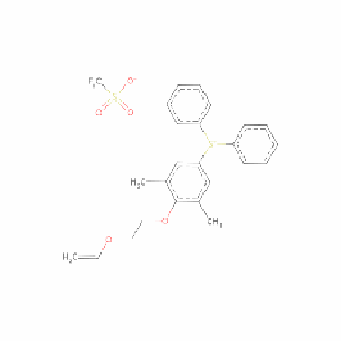 C=COCCOc1c(C)cc([S+](c2ccccc2)c2ccccc2)cc1C.O=S(=O)([O-])C(F)(F)F